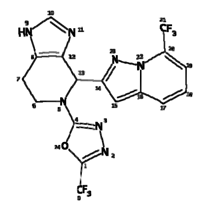 FC(F)(F)c1nnc(N2CCc3[nH]cnc3C2c2cc3cccc(C(F)(F)F)n3n2)o1